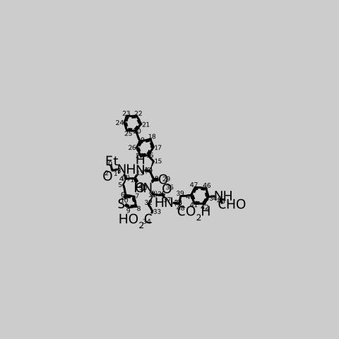 CCC(=O)N[C@H](Cc1cccs1)C(=O)N[C@@H](Cc1ccc(-c2ccccc2)cc1)C(=O)N[C@H](CCC(=O)O)C(=O)N[C@@H](Cc1ccc(NC=O)cc1)C(=O)O